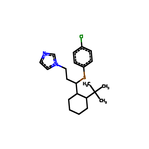 CC(C)(C)C1CCCCC1C(CCn1ccnc1)Sc1ccc(Cl)cc1